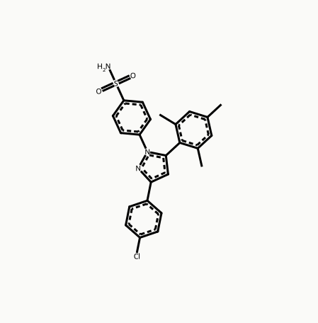 Cc1cc(C)c(-c2cc(-c3ccc(Cl)cc3)nn2-c2ccc(S(N)(=O)=O)cc2)c(C)c1